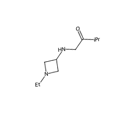 CCN1CC(NCC(=O)C(C)C)C1